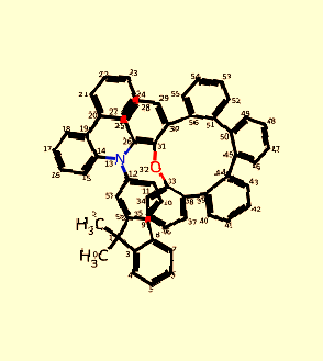 CC1(C)c2ccccc2-c2ccc(N(c3ccccc3-c3ccccc3)c3cccc4c3Oc3ccccc3-c3ccccc3-c3ccccc3-c3ccccc3-4)cc21